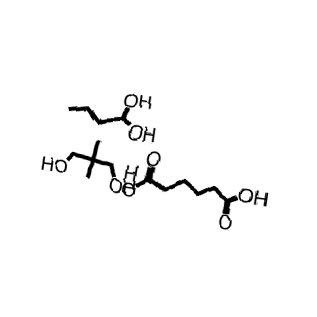 CC(C)(CO)CO.CCCC(O)O.O=C(O)CCCCC(=O)O